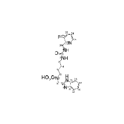 O=C(NCCCCN(Cc1nc2ccccc2[nH]1)C(=O)O)NCc1ncccc1F